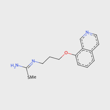 CS/C(N)=N\CCCOc1cccc2ccncc12